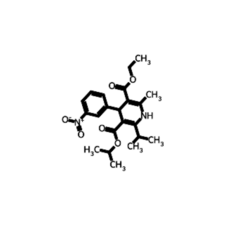 CCOC(=O)C1=C(C)NC(C(C)C)=C(C(=O)OC(C)C)C1c1cccc([N+](=O)[O-])c1